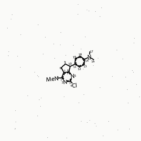 CNc1nc(Cl)nc2c1CCC2c1ccc(N(C)C)cc1